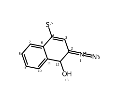 [N-]=[N+]=C1C=C([S])c2ccccc2C1O